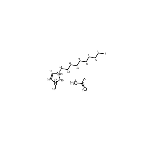 CC(=O)O.CCCCCCCCCCN1C=CN(C)C1